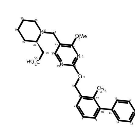 COc1nc(OCc2cccc(-c3ccccc3)c2C)ncc1CN1CCCC[C@@H]1CC(=O)O